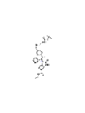 CCOC(=O)c1ccc2c(c1)NC(=O)/C2=C(\Nc1ccc(CN(C)CCNC(=O)OC(C)(C)C)cc1)c1ccccc1